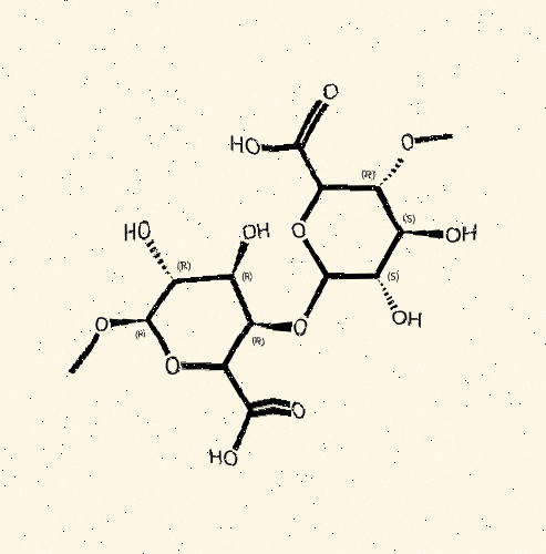 CO[C@@H]1OC(C(=O)O)[C@H](OC2OC(C(=O)O)[C@H](OC)[C@@H](O)[C@@H]2O)[C@H](O)[C@H]1O